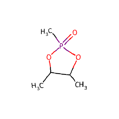 CC1OP(C)(=O)OC1C